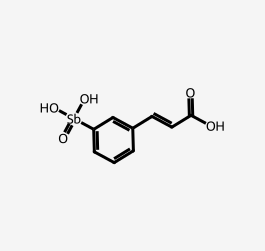 O=C(O)C=Cc1ccc[c]([Sb](=[O])([OH])[OH])c1